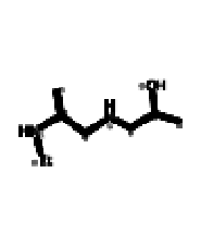 CCNC(C)CNCC(C)O